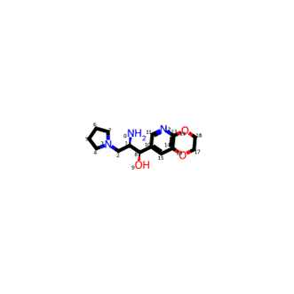 N[C@H](CN1CCCC1)[C@H](O)c1cnc2c(c1)OCCO2